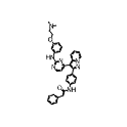 CN(C)CCOc1cccc(Nc2nccc(-c3c(-c4ccc(NC(=O)Cc5ccccc5)cc4)nn4ccccc34)n2)c1